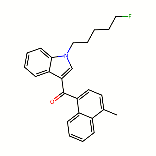 Cc1ccc(C(=O)c2cn(CCCCCF)c3ccccc23)c2ccccc12